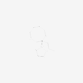 CCCC1(N2CCCC2)CCCCCCC1